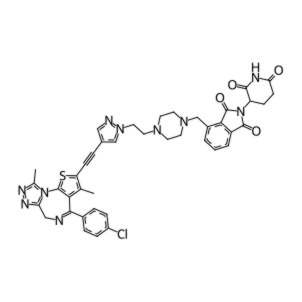 Cc1c(C#Cc2cnn(CCN3CCN(Cc4cccc5c4C(=O)N(C4CCC(=O)NC4=O)C5=O)CC3)c2)sc2c1C(c1ccc(Cl)cc1)=NCc1nnc(C)n1-2